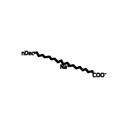 CCCCCCCCCCCCCCCCCCCCCCCCCCCCCC(=O)[O-].[Na+]